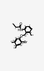 CCC(=O)Nc1cccc(C)c1COc1cc(C)c(C)cc1Br